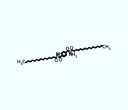 CCCCCCCCCCCCCCCC(=O)N(N)C(=O)c1ccc(C(=O)N(N)C(=O)CCCCCCCCCCCCCCC)cc1